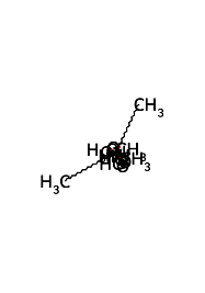 CCCCCCCCCCCCCCCCCC(=O)NC(C)C1(C(=O)CCCCCCCCCCCCCCCCC)NCCN1C.COS(=O)(=O)O